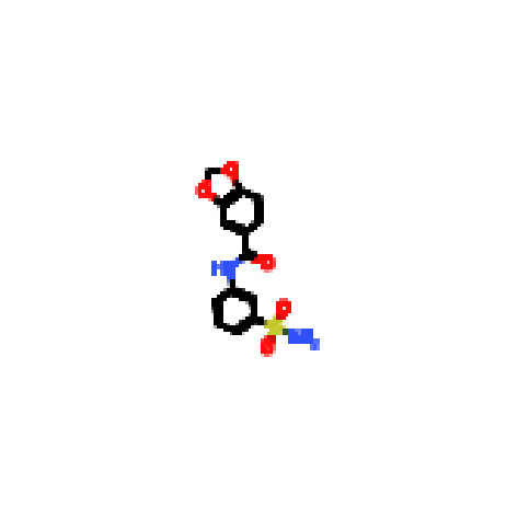 NS(=O)(=O)c1cccc(NC(=O)c2ccc3c(c2)OCO3)c1